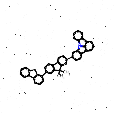 CC1(C)c2cc(-c3ccc4c5cccc6c7ccccc7n(c4c3)c65)ccc2-c2ccc(-c3cccc4c3Cc3ccccc3-4)cc21